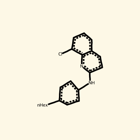 CCCCCCc1ccc(Nc2ccc3cccc(Cl)c3n2)cc1